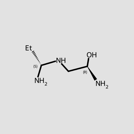 CC[C@@H](N)NC[C@H](N)O